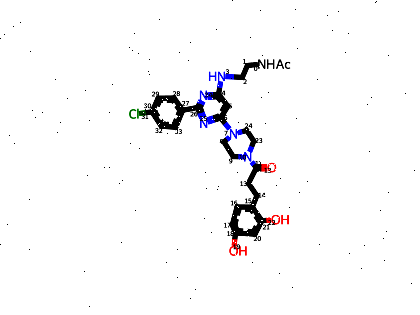 CC(=O)NCCNc1cc(N2CCN(C(=O)CCc3ccc(O)cc3O)CC2)nc(-c2ccc(Cl)cc2)n1